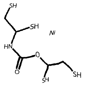 O=C(NC(S)CS)OC(S)CS.[Ni]